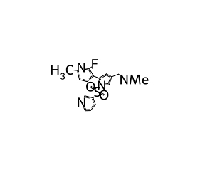 CNCc1cc(-c2ccc(C)nc2F)n(S(=O)(=O)c2cccnc2)c1